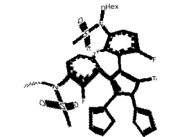 CCCCCCN(c1ccc(F)c(C2=[C]([Ti])C(C3=CC=CC3)C(C3=CC=CC3)=C2c2c(F)ccc(N(CCCCCC)S(C)(=O)=O)c2F)c1F)S(C)(=O)=O